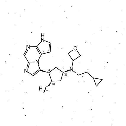 C[C@@H]1C[C@H](N(CCC2CC2)C2COC2)C[C@@H]1c1cnc2cnc3[nH]ccc3n12